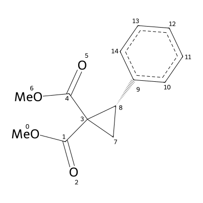 COC(=O)C1(C(=O)OC)C[C@H]1c1ccccc1